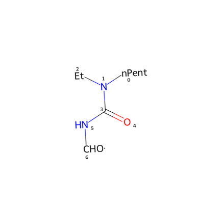 CCCCCN(CC)C(=O)N[C]=O